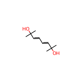 CC(C)(O)C=CC=CC(C)(C)O